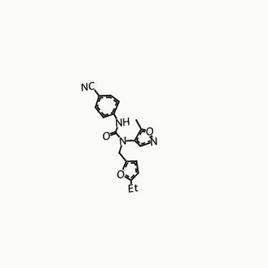 CCc1ccc(CN(C(=O)Nc2ccc(C#N)cc2)c2cnoc2C)o1